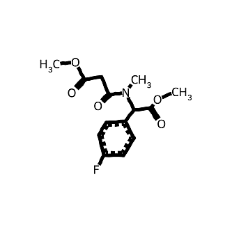 COC(=O)CC(=O)N(C)C(C(=O)OC)c1ccc(F)cc1